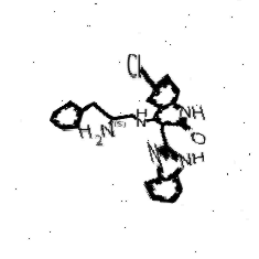 N[C@H](CNc1c(-c2nc3ccccc3[nH]2)c(=O)[nH]c2ccc(Cl)cc12)Cc1ccccc1